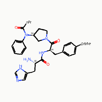 CCCC(=O)N(c1ccccc1)[C@H]1CCN(C(=O)[C@@H](Cc2ccc(OC)cc2)NC(=O)[C@@H](N)Cc2cnc[nH]2)C1